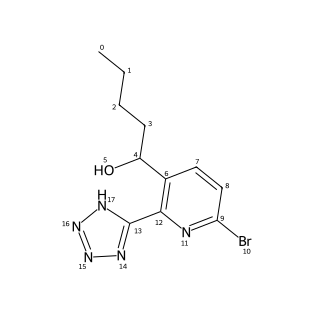 CCCCC(O)c1ccc(Br)nc1-c1nnn[nH]1